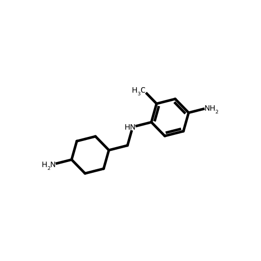 Cc1cc(N)ccc1NCC1CCC(N)CC1